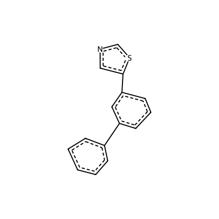 c1ccc(-c2cccc(-c3cncs3)c2)cc1